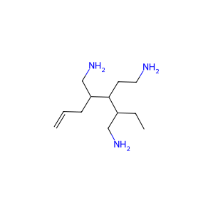 C=CCC(CN)C(CCN)C(CC)CN